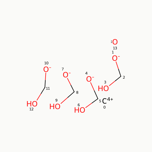 [C+4].[O-]CO.[O-]CO.[O-]CO.[O-]CO.[O]